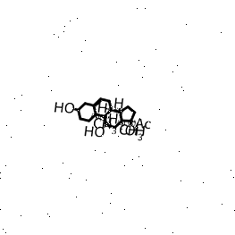 CC(=O)[C@@]1(O)CC[C@H]2[C@@H]3CC=C4CC(O)CC[C@]4(C)[C@H]3[C@H](O)C[C@@]21C